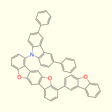 c1ccc(-c2ccc3c(c2)c2cc(-c4ccccc4)ccc2n3-c2cccc3oc4cc5c(cc4c23)oc2c(-c3ccc4oc6ccccc6c4c3)cccc25)cc1